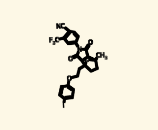 CC12CCC(CCOc3ccc(I)cc3)(O1)C1C(=O)N(c3ccc(C#N)c(C(F)(F)F)c3)C(=O)C12